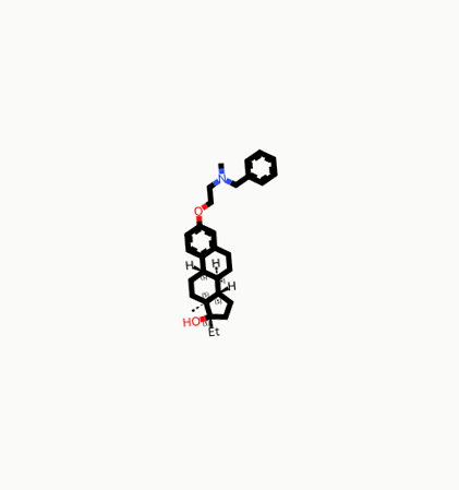 CC[C@]1(O)CC[C@H]2[C@@H]3CCc4cc(OCCN(C)Cc5ccccc5)ccc4[C@H]3CC[C@@]21C